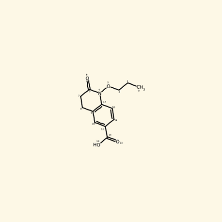 CCCON1C(=O)CCc2cc(C(=O)O)ccc21